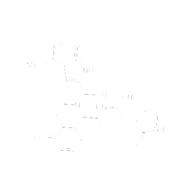 COc1cccc2[nH]c(C(O)N3CCc4c(C)cccc4C3C(=O)N[C@H](C#N)C[C@@H]3CCNC3=O)cc12